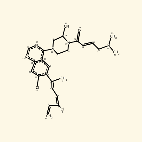 C=C/C(Cl)=C\C=C(/C)c1cc2c(N3CCN(C(=O)/C=C/CN(C)C)C(C#N)C3)ncnc2cc1Cl